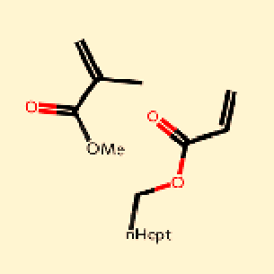 C=C(C)C(=O)OC.C=CC(=O)OCCCCCCCC